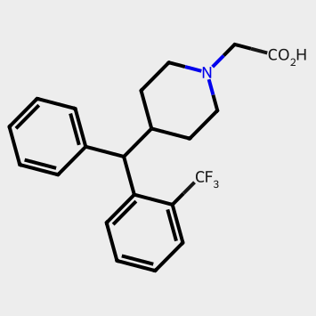 O=C(O)CN1CCC(C(c2ccccc2)c2ccccc2C(F)(F)F)CC1